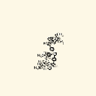 COC(=O)N[C@H](C(=O)N1CCC[C@H]1c1nc(-c2ccc([C@@H]3CC[C@@H](c4ccc(-c5c[nH]c([C@@H]6CCCN6C(=O)[C@@H](NC(=O)OC)C(C)(C)C)n5)cc4)N3c3ccc(C(C)(C)C)cc3)cc2)c[nH]1)C(C)(C)C